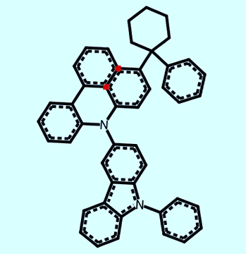 c1ccc(-c2ccccc2N(c2ccc(C3(c4ccccc4)CCCCC3)cc2)c2ccc3c(c2)c2ccccc2n3-c2ccccc2)cc1